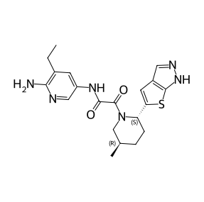 CCc1cc(NC(=O)C(=O)N2C[C@H](C)CC[C@H]2c2cc3cn[nH]c3s2)cnc1N